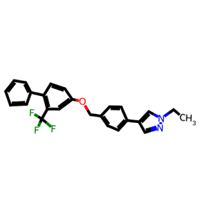 CCn1cc(-c2ccc(COc3ccc(-c4ccccc4)c(C(F)(F)F)c3)cc2)cn1